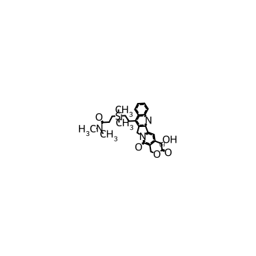 CN(C)C(=O)CC[Si](C)(C)CCc1c2c(nc3ccccc13)-c1cc3c(c(=O)n1C2)COC(=O)[C@H]3O